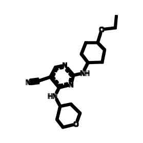 CCOC1CCC(Nc2ncc(C#N)c(NC3CCOCC3)n2)CC1